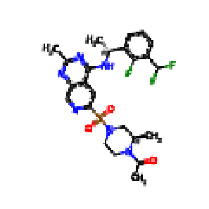 CC(=O)N1CCN(S(=O)(=O)c2cc3c(N[C@H](C)c4cccc(C(F)F)c4F)nc(C)nc3cn2)C[C@H]1C